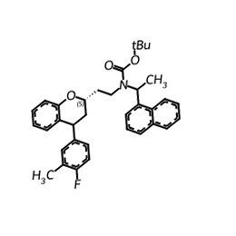 Cc1cc(C2C[C@@H](CCN(C(=O)OC(C)(C)C)C(C)c3cccc4ccccc34)Oc3ccccc32)ccc1F